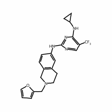 FC(F)(F)c1cnc(Nc2ccc3c(c2)CCN(Cc2ccco2)C3)nc1NC1CC1